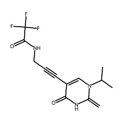 C=C1NC(=O)C(C#CCNC(=O)C(F)(F)F)=CN1C(C)C